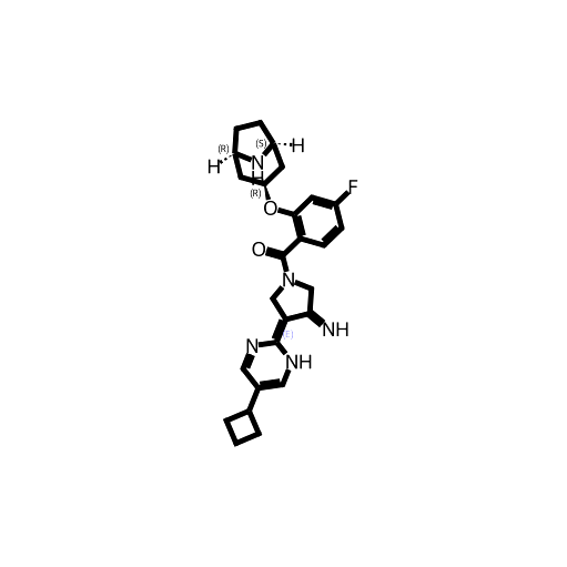 N=C1CN(C(=O)c2ccc(F)cc2O[C@H]2C[C@H]3CC[C@@H](C2)N3)C/C1=C1\N=CC(C2CCC2)=CN1